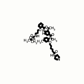 COc1cc(C(=O)N(C)c2ccc(C)cc2OCCCCCC(=O)Nc2ccncc2)ccc1NC(=O)c1ccccc1OCCCNC(=O)OC(C)(C)C